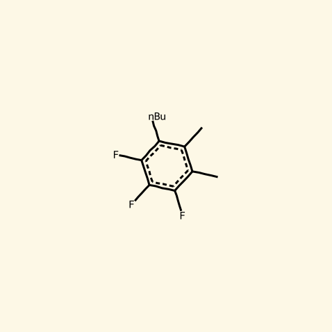 CCCCc1c(C)c(C)c(F)c(F)c1F